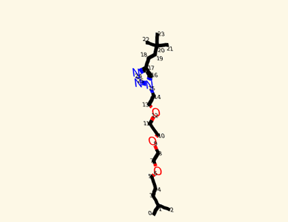 CC(C)CCCOCCOCCOCCn1cc(CCC(C)(C)C)nn1